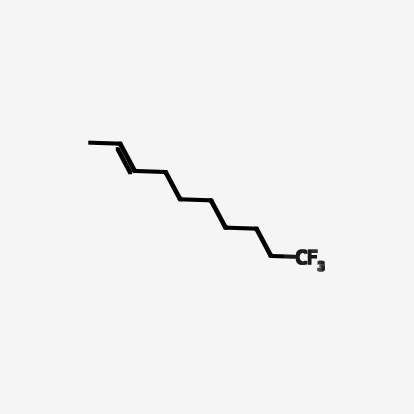 CC=CCCCCCCC(F)(F)F